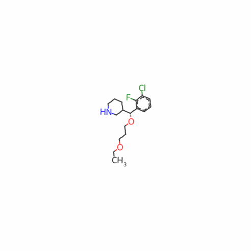 CCOCCCO[C@@H](c1cccc(Cl)c1F)C1CCCNC1